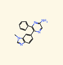 Cn1cnc2ccc(-c3ncc(N)nc3-c3ccccc3)cc21